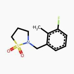 [CH2]c1c(F)cccc1CN1CCCS1(=O)=O